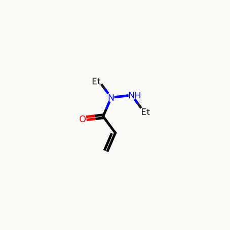 C=CC(=O)N(CC)NCC